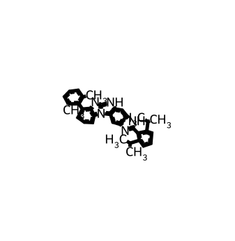 Cc1cccc(C)c1-c1cccc2c1nc1[nH]c3cc4[nH]c(-c5c(C(C)C)cccc5C(C)C)nc4cc3n12